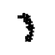 O=C(O)NC1(c2ccc(-c3ccc(COCc4cncnc4)cc3)cc2)CC1